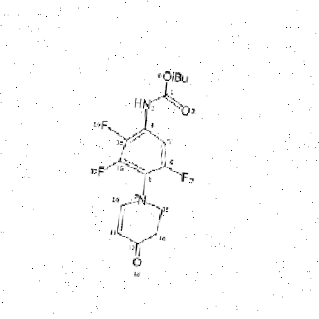 CC(C)COC(=O)Nc1cc(F)c(N2C=CC(=O)CC2)c(F)c1F